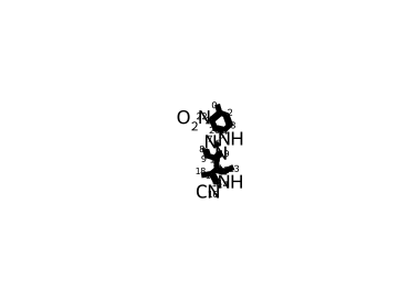 Cc1ccc(Nc2nccc(-c3c(C)[nH]c(C#N)c3C)n2)cc1[N+](=O)[O-]